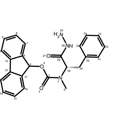 CN(C(=O)OC1c2ccccc2-c2ccccc21)[C@@H](Cc1ccccc1)C(=O)NN